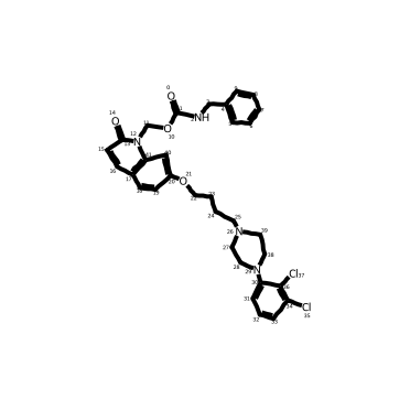 O=C(NCc1ccccc1)OCn1c(=O)ccc2ccc(OCCCCN3CCN(c4cccc(Cl)c4Cl)CC3)cc21